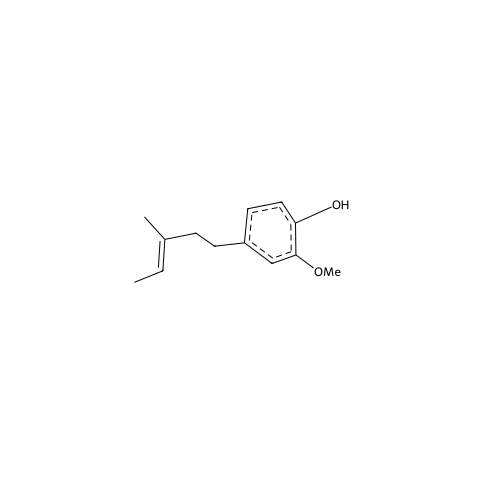 CC=C(C)CCc1ccc(O)c(OC)c1